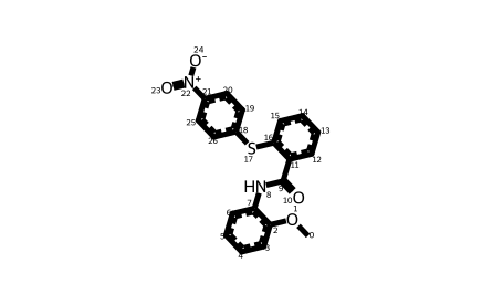 COc1ccccc1NC(=O)c1ccccc1Sc1ccc([N+](=O)[O-])cc1